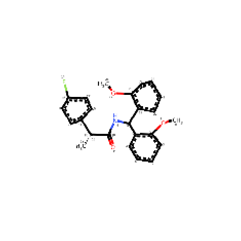 COc1ccccc1C(NC(=O)[C@H](C)c1ccc(F)cc1)c1ccccc1OC